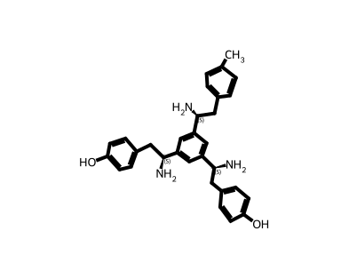 Cc1ccc(C[C@H](N)c2cc([C@@H](N)Cc3ccc(O)cc3)cc([C@@H](N)Cc3ccc(O)cc3)c2)cc1